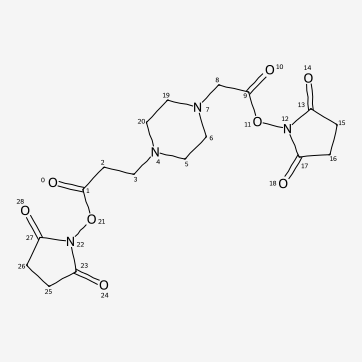 O=C(CCN1CCN(CC(=O)ON2C(=O)CCC2=O)CC1)ON1C(=O)CCC1=O